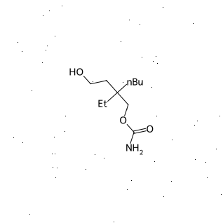 CCCCC(CC)(CCO)COC(N)=O